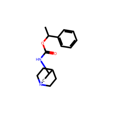 CC(OC(=O)NC1CN2CCC1CC2)c1ccccc1